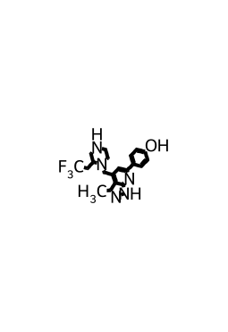 Cc1n[nH]c2nc(-c3ccc(O)cc3)cc(CN3CCNCC3CC(F)(F)F)c12